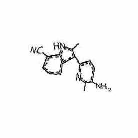 Cc1nc(-c2c(C)[nH]c3c(C#N)cccc23)ccc1N